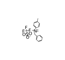 Cc1ccc([N+](C)(C)Cc2ccccc2)cc1.O=S(=O)([O-])C(F)(F)F